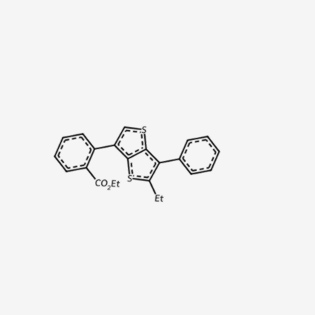 CCOC(=O)c1ccccc1-c1csc2c(-c3ccccc3)c(CC)sc12